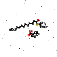 CCC(=O)[O-].CCCCCCCCC=CCCCCCCCC(=O)SC(C)C(=O)[O-].[Mg+2]